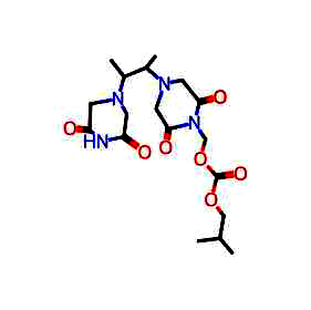 CC(C)COC(=O)OCN1C(=O)CN(C(C)C(C)N2CC(=O)NC(=O)C2)CC1=O